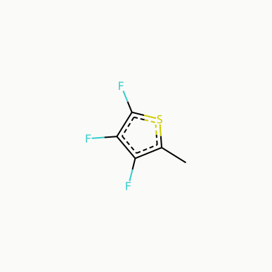 Cc1sc(F)c(F)c1F